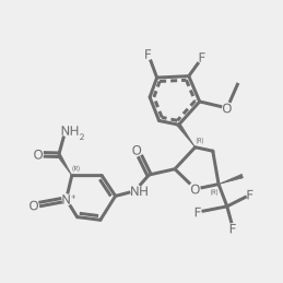 COc1c([C@H]2C[C@](C)(C(F)(F)F)OC2C(=O)NC2=C[C@H](C(N)=O)[N+](=O)C=C2)ccc(F)c1F